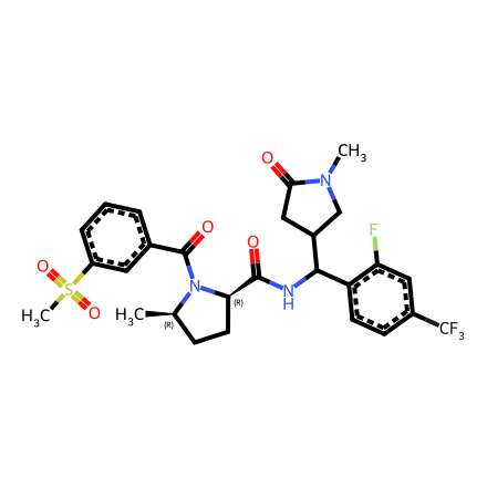 C[C@@H]1CC[C@H](C(=O)NC(c2ccc(C(F)(F)F)cc2F)C2CC(=O)N(C)C2)N1C(=O)c1cccc(S(C)(=O)=O)c1